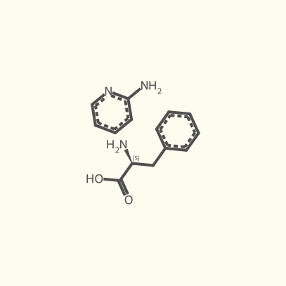 N[C@@H](Cc1ccccc1)C(=O)O.Nc1ccccn1